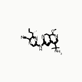 CC[C@H](C)c1nc(Nc2cc3c(C(C)(C)N)cnc(OC)c3cn2)cnc1C#N